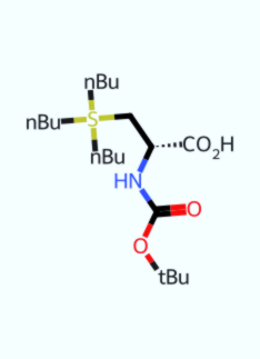 CCCCS(CCCC)(CCCC)C[C@@H](NC(=O)OC(C)(C)C)C(=O)O